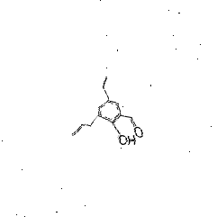 C=CCc1cc(CC)cc(C=O)c1O